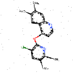 CNc1cc(Cl)c(Oc2ccnc3cc(OC)c(OC)cc23)nc1C